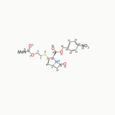 CNC(=O)OCCSC1=CC2CC(=O)N2[C@@H]1C(=O)OCc1ccc([N+](=O)[O-])cc1